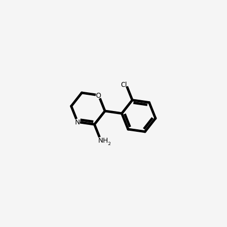 NC1=NCCOC1c1ccccc1Cl